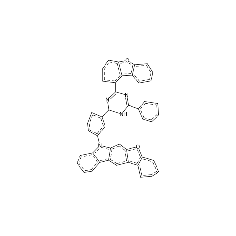 c1ccc(C2=NC(c3cccc4oc5ccccc5c34)=NC(c3cccc(-n4c5ccccc5c5cc6c(cc54)oc4ccccc46)c3)N2)cc1